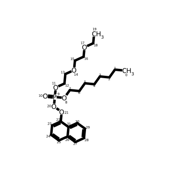 CCCCCCCCOP(=O)(OCCOCCOCC)OOc1cccc2ccccc12